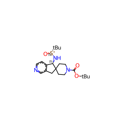 CC(C)(C)OC(=O)N1CCC2(CC1)Cc1cnccc1[C@H]2N[S@+]([O-])C(C)(C)C